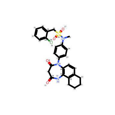 CN(c1ccc(N2C(=O)CC(=O)Nc3c2ccc2c3CCCC2)cc1)S(=O)(=O)Cc1ccccc1Cl